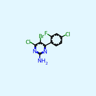 Nc1nc(Cl)c(Br)c(-c2ccc(Cl)cc2F)n1